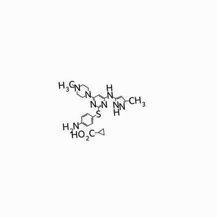 Cc1cc(Nc2cc(N3CCN(C)CC3)nc(Sc3ccc(N)cc3)n2)[nH]n1.O=C(O)C1CC1